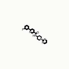 O=C(NC1CCN(c2ncccn2)CC1)c1ccc(-c2cccc(F)c2)nc1